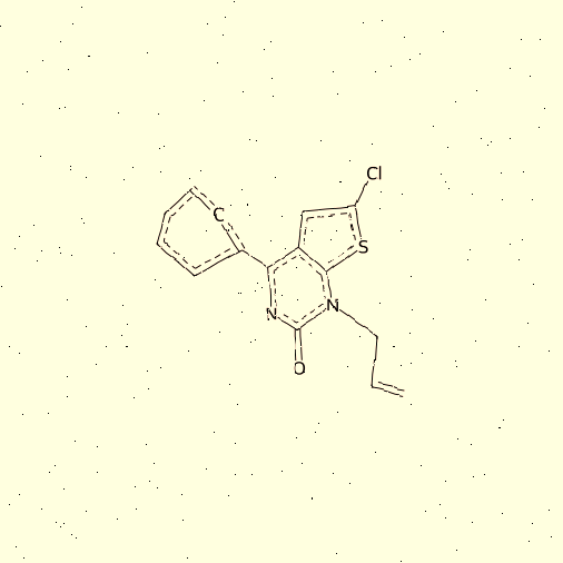 C=CCn1c(=O)nc(-c2ccccc2)c2cc(Cl)sc21